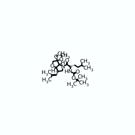 COC1(OC)CO[C@@H]2[C@H](C=C(C)C)CN(C(=O)[C@H](CCC(C)C)NC(=O)OC(C)(C)C)[C@@H]21